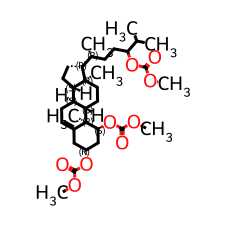 COC(=O)OC(CC[C@@H](C)[C@H]1CC[C@H]2[C@@H]3CC=C4C[C@@H](OC(=O)OC)C[C@H](OC(=O)OC)[C@]4(C)[C@H]3CC[C@]12C)C(C)C